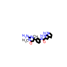 CN1C(=O)C[C@@](C)(c2cccc(NC(=O)c3cc4cccnc4[nH]3)c2)N=C1N